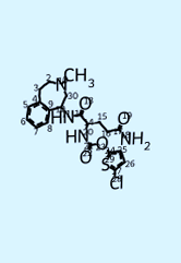 CN1CCc2ccccc2C(NC(=O)[C@@H](CCC(N)=O)NC(=O)Oc2ccc(Cl)s2)C1